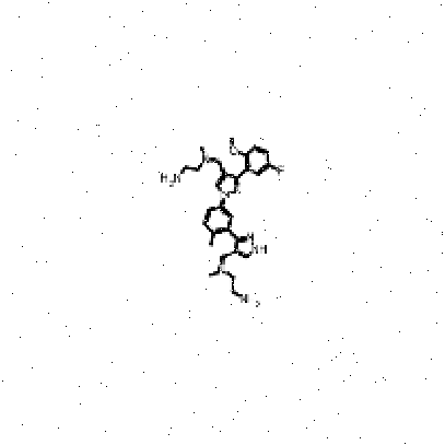 COc1ccc(F)cc1-c1nn(-c2ccc(C)c(-c3n[nH]cc3CN(C)CCN)c2)cc1CN(C)CCN